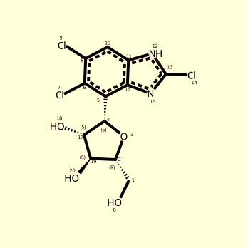 OC[C@H]1O[C@@H](c2c(Cl)c(Cl)cc3[nH]c(Cl)nc23)[C@@H](O)[C@@H]1O